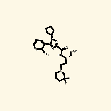 O=C(O)C[C@H](CCN1CCCC(F)(F)C1)NC(=O)c1nc(-c2cccnc2C(F)(F)F)n(C2CCCC2)n1